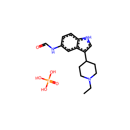 CCN1CCC(c2c[nH]c3ccc(NC=O)cc23)CC1.O=P(O)(O)O